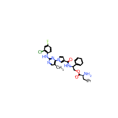 Cc1cnc(Nc2ccc(F)cc2Cl)nc1-n1ccc(C(=O)NC(COC(=O)C(N)CC(C)C)c2ccccc2)c1